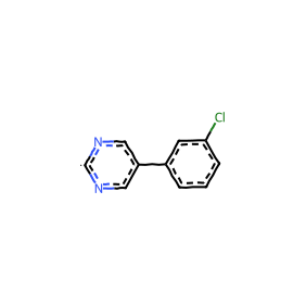 Clc1cccc(-c2cn[c]nc2)c1